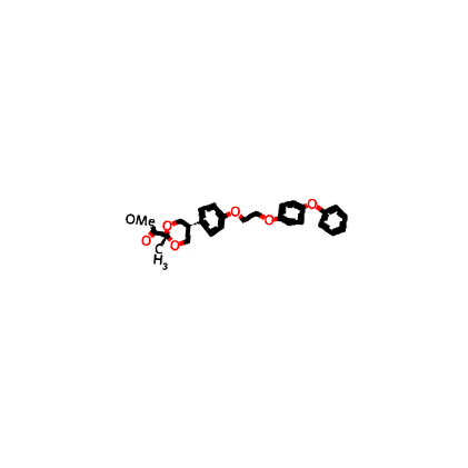 COC(=O)[C@]1(C)OC[C@H](c2ccc(OCCOc3ccc(Oc4ccccc4)cc3)cc2)CO1